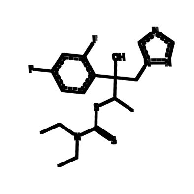 CCN(CC)C(=S)SC(C)C(O)(Cn1cncn1)c1ccc(F)cc1F